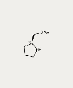 CO[CH][C@@H]1CCCN1